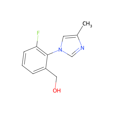 Cc1cn(-c2c(F)cccc2CO)cn1